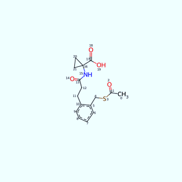 CC(=O)SCc1ccccc1CCC(=O)NC1(C(=O)O)CC1